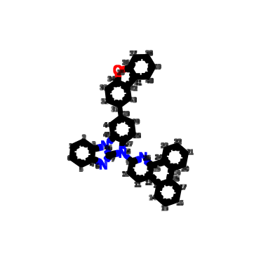 c1ccc2c(c1)nc1n(-c3ccc4c5ccccc5c5ccccc5c4n3)c3ccc(-c4ccc5oc6ccccc6c5c4)cc3n21